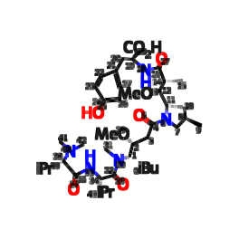 CC[C@H](C)[C@@H]([C@@H](CC(=O)N1C[C@H](C)C[C@H]1[C@H](OC)[C@@H](C)C(=O)N[C@@H](Cc1ccc(O)cc1)C(=O)O)OC)N(C)C(=O)[C@@H](NC(=O)[C@H](C(C)C)N(C)C)C(C)C